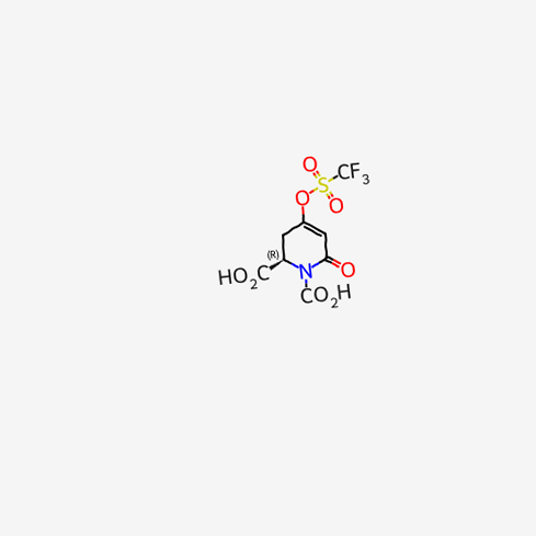 O=C(O)[C@H]1CC(OS(=O)(=O)C(F)(F)F)=CC(=O)N1C(=O)O